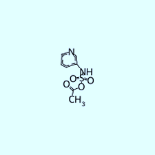 CC(=O)OS(=O)(=O)Nc1cccnc1